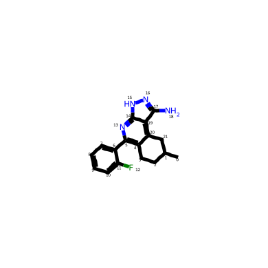 CC1CCc2c(-c3ccccc3F)nc3[nH]nc(N)c3c2C1